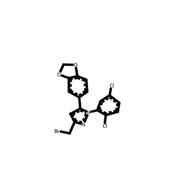 Clc1ccc(Cl)c(-n2nc(CBr)cc2-c2ccc3c(c2)OCO3)c1